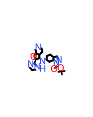 CC(C)(C)OC(=O)n1ncc2ccc(Nc3c(-c4ncccn4)oc4cnccc34)cc21